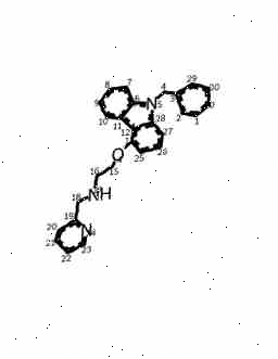 c1ccc(Cn2c3ccccc3c3c(OCCNCc4ccccn4)cccc32)cc1